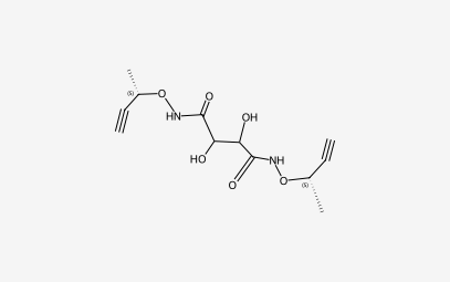 C#C[C@H](C)ONC(=O)C(O)C(O)C(=O)NO[C@@H](C)C#C